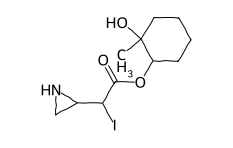 CC1(O)CCCCC1OC(=O)C(I)C1CN1